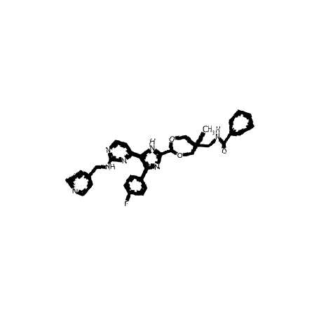 CC1(CNC(=O)c2ccccc2)COC(c2nc(-c3ccc(F)cc3)c(-c3ccnc(NCc4ccncc4)n3)[nH]2)OC1